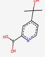 CC(C)(O)c1ccnc(B(O)O)c1